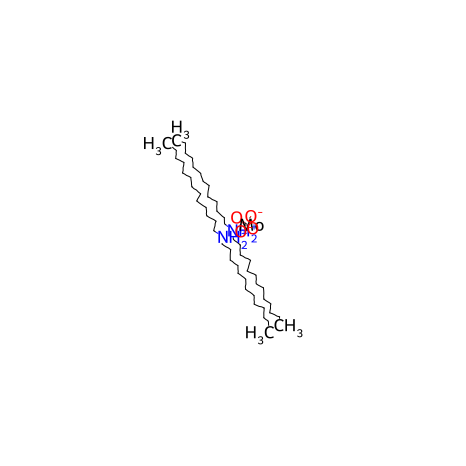 CCCCCCCCCCCCC[NH2+]CCCCCCCCCCCCC.CCCCCCCCCCCCC[NH2+]CCCCCCCCCCCCC.[O]=[Mo](=[O])([O-])[O-]